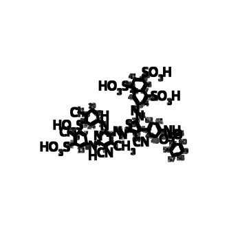 Cc1c(C#N)c(Nc2ccc(Cl)c(S(=O)(=O)O)c2)nc(Nc2ccc(Cl)c(S(=O)(=O)O)c2)c1N=Nc1sc(/N=N/c2cc(S(=O)(=O)O)c3cc(S(=O)(=O)O)cc(S(=O)(=O)O)c3c2)c(-c2ccc(NS(=O)(=O)c3ccccc3)cc2)c1C#N